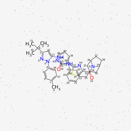 Cc1ccc(-n2nc(C(C)(C)C)cc2NC(=O)Nc2cccc(CC3CC4CCC(C3)N4C(=O)c3csc(-c4cccnc4)n3)c2)cc1